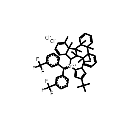 CCC1C=C(C(C)(C)C)C=[C]1[Zr+2](=[C](c1cccc(C(F)(F)F)c1)c1cccc(C(F)(F)F)c1)[CH]1C2C=CC=C(C)C2(C)C2(C)C3(C)C=CC=CC3(C)C3(C)C=CC=CC3(C)C12C.[Cl-].[Cl-]